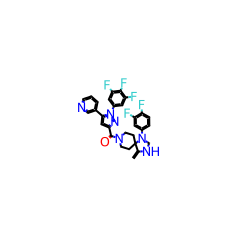 C=C1NCN(c2ccc(F)c(F)c2)C12CCN(C(=O)c1cc(-c3cccnc3)n(-c3cc(F)c(F)c(F)c3)n1)CC2